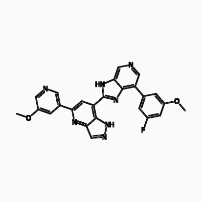 COc1cncc(-c2cc(-c3nc4c(-c5cc(F)cc(OC)c5)cncc4[nH]3)c3[nH]ncc3n2)c1